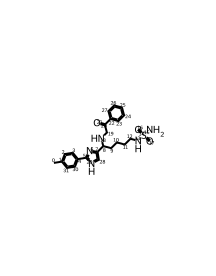 Cc1ccc(-c2nc(C(CCCCNS(N)(=O)=O)NCC(=O)c3ccccc3)c[nH]2)cc1